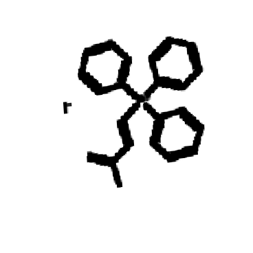 C=C(C)C=C[P+](c1ccccc1)(c1ccccc1)c1ccccc1.[I-]